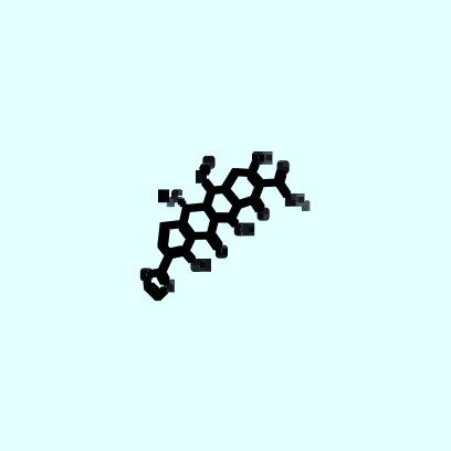 C[C@H]1c2ccc(-c3ncco3)c(O)c2C(=O)C2=C(O)C3C(=O)C(C(N)=O)=C(O)CC3C(N=O)C21